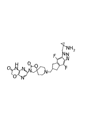 NC1(Cn2nnc3c(F)c4c(c(F)c32)CC(CN2CCC3(CC2)CN(c2cnc5c(n2)NC(=O)CO5)C(=O)O3)C4)CC1